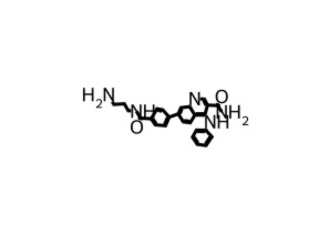 NCCCNC(=O)c1ccc(-c2ccc3c(Nc4ccccc4)c(C(N)=O)cnc3c2)cc1